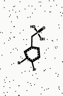 O=P(O)(O)Cc1ccc(Br)c(Br)c1